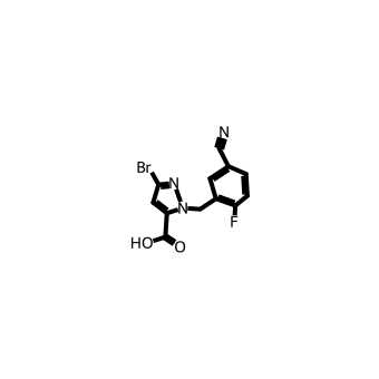 N#Cc1ccc(F)c(Cn2nc(Br)cc2C(=O)O)c1